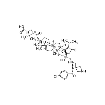 CC(C)C1=C2[C@H]3CC[C@@H]4[C@@]5(C)CC[C@H](OC(=O)[C@H]6C[C@@H](C(=O)O)C6(C)C)C(C)(C)[C@@H]5CC[C@@]4(C)[C@]3(C)CC[C@@]2([C@@H](O)CNCC2(NC(=O)c3ccc(Cl)cc3)CNC2)CC1=O